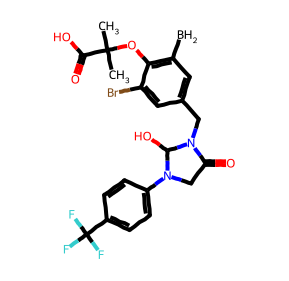 Bc1cc(CN2C(=O)CN(c3ccc(C(F)(F)F)cc3)C2O)cc(Br)c1OC(C)(C)C(=O)O